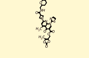 Cc1oc(=O)oc1COC(=O)c1cn(-c2nccs2)c2nc(N3CC(C(=O)NCC4CCCCO4)C3)cc(C)c2c1=O